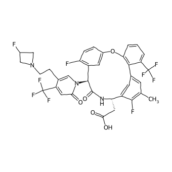 Cc1cc2cc(c1F)[C@H](CC(=O)O)NC(=O)[C@@H](n1cc(CCN3CC(F)C3)c(C(F)(F)F)cc1=O)c1cc(ccc1F)Oc1cccc(C(F)(F)F)c1-2